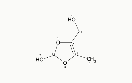 CC1=C(CO)OC(O)O1